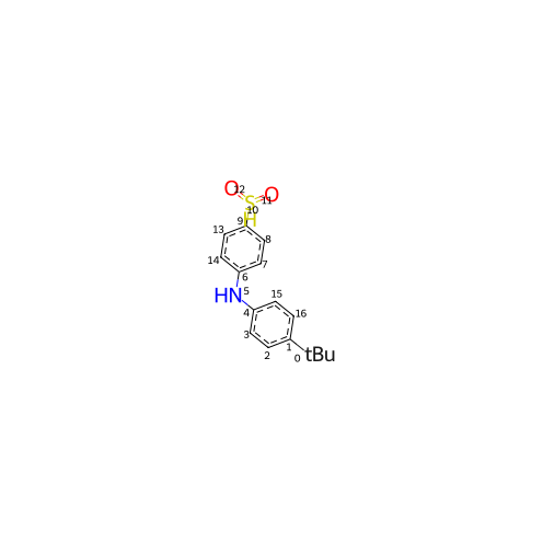 CC(C)(C)c1ccc(Nc2ccc([SH](=O)=O)cc2)cc1